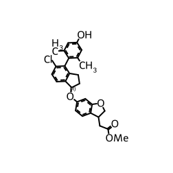 COC(=O)CC1COc2cc(O[C@@H]3CCc4c3ccc(Cl)c4-c3c(C)cc(O)cc3C)ccc21